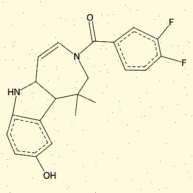 CC1(C)CN(C(=O)c2ccc(F)c(F)c2)C=CC2Nc3ccc(O)cc3C21